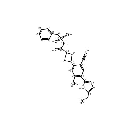 CCc1cnc(-c2cc(C#N)c(N3CC(C(=O)NS(=O)(=O)Cc4ccccc4)C3)nc2C)o1